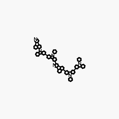 c1ccc(-n2c3ccccc3c3cc(-c4ccc5c(c4)c4cc(-c6ccc7c8c(cccc68)-c6cnc(-c8ccc9c(c8)c8ccc(-c%10ccc%11c(c%10)c%10ccccc%10n%11-c%10ccc%11c%12c(cccc%10%12)-c%10cnccc%10-%11)cc8n9-c8ccccc8)cc6-7)ccc4n5-c4ccccc4)ccc32)cc1